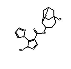 CC(C)(C)n1ncc(C(=O)NC2CCC3(O)CC4CC(C3)C2C4)c1-n1cccn1